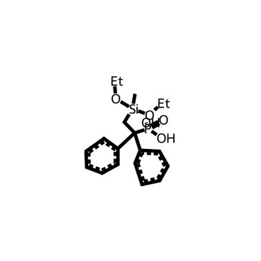 CCO[Si](C)(CC(c1ccccc1)(c1ccccc1)P(=O)(O)O)OCC